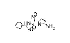 CON=C(C(=O)NC([C]=O)c1ccccc1)c1csc(N)n1